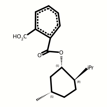 CC(C)[C@H]1CC[C@H](C)C[C@@H]1OC(=O)c1ccccc1C(=O)O